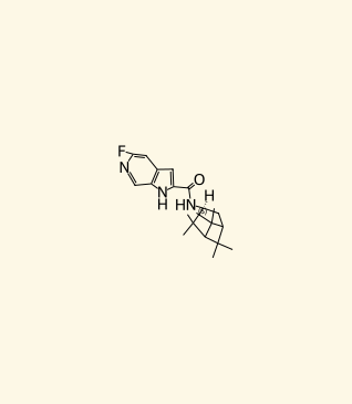 CC1(C)C2C[C@H](NC(=O)c3cc4cc(F)ncc4[nH]3)C(C)(C)C1C2(C)C